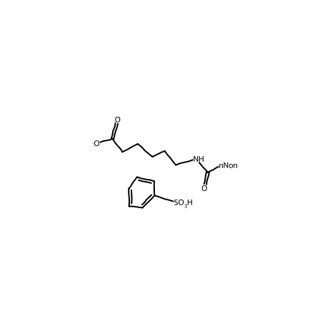 CCCCCCCCCC(=O)NCCCCCC([O])=O.O=S(=O)(O)c1ccccc1